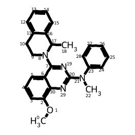 COc1cccc2c(N3CCc4ccccc4C3C)nc(N(C)c3ccccc3)nc12